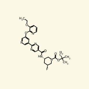 CCOc1cccnc1Oc1cncc(-c2ncc(C(=O)N[C@H]3C[C@H](F)CN(C(=O)OC(C)(C)C)C3)cn2)c1